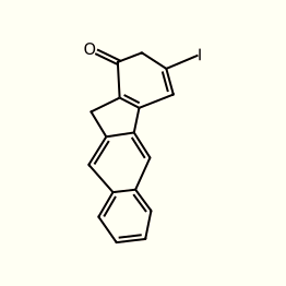 O=C1CC(I)=CC2=C1Cc1cc3ccccc3cc12